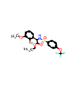 CCOC(=O)C(NS(=O)(=O)c1ccc(OC(F)(F)F)cc1)c1cccc(OC)c1Br